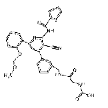 COCOc1ccccc1-c1cc(-c2cccc(CNC(=O)CNC(=O)O)c2)c(C#N)c(NC(=O)c2cccs2)n1